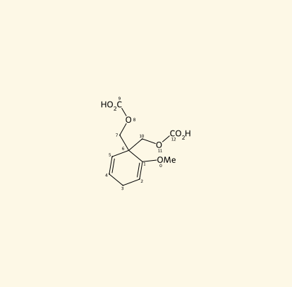 COC1=CCC=CC1(COC(=O)O)COC(=O)O